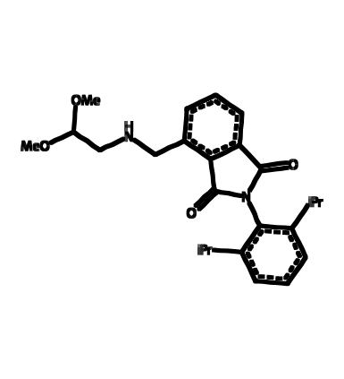 COC(CNCc1cccc2c1C(=O)N(c1c(C(C)C)cccc1C(C)C)C2=O)OC